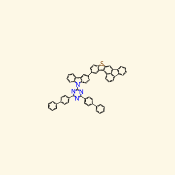 c1ccc(-c2ccc(-c3nc(-c4ccc(-c5ccccc5)cc4)nc(-n4c5ccccc5c5cc(-c6ccc7sc8cc9c%10c(cccc%10c8c7c6)-c6ccccc6-9)ccc54)n3)cc2)cc1